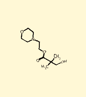 CC(C)(CO)C(=O)OCCN1CCOCC1